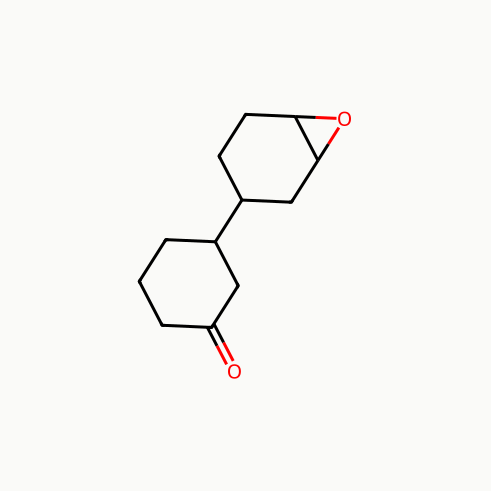 O=C1CCCC(C2CCC3OC3C2)C1